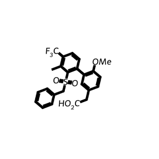 COc1ccc(CC(=O)O)cc1-c1ccc(C(F)(F)F)c(C)c1S(=O)(=O)Cc1ccccc1